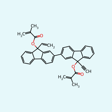 C#CC1(OC(=O)C(=C)C)c2ccccc2-c2ccc(-c3ccc4c(c3)C(C=C)(OC(=O)C(=C)C)c3ccccc3-4)cc21